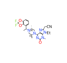 CCn1c(CC#N)nc2c(N3C[C@@H](C)N(C(C)c4cccc5c4OC(F)(F)O5)C[C@@H]3C)nc(=O)n(C)c21